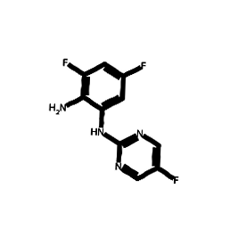 Nc1c(F)cc(F)cc1Nc1ncc(F)cn1